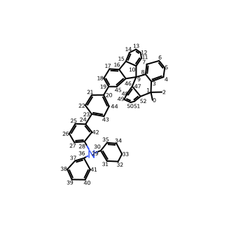 CC1(C)c2ccccc2C2(c3ccccc3-c3ccc(-c4ccc(-c5cccc(N(C6=CCCC=C6)c6ccccc6)c5)cc4)cc32)c2ccccc21